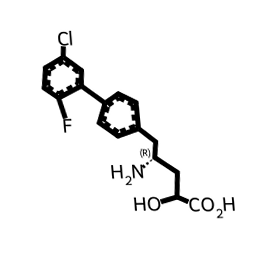 N[C@H](Cc1ccc(-c2cc(Cl)ccc2F)cc1)CC(O)C(=O)O